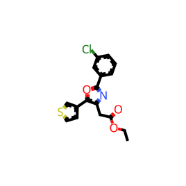 CCOC(=O)Cc1nc(-c2cccc(Cl)c2)oc1-c1ccsc1